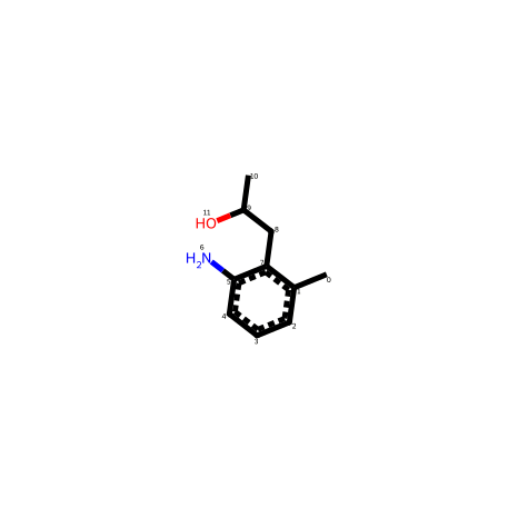 Cc1cccc(N)c1CC(C)O